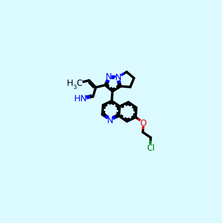 CC=C(C=N)c1nn2c(c1-c1ccnc3cc(OCCCl)ccc13)CCC2